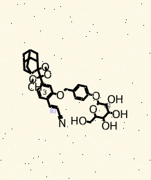 COC1(c2ccc(/C=C/C#N)c(OCc3ccc(OC4OC(CO)C(O)C(O)[C@@H]4O)cc3)c2)OOC12C1CC3CC(C1)CC2C3